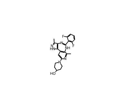 Cc1n[nH]c2c1N=C(c1c(F)cccc1F)Nc1c-2cc(N2CCC(O)CC2)nc1C